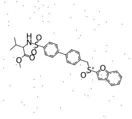 COC(=O)C(NS(=O)(=O)c1ccc(-c2ccc(C[S+]([O-])c3cc4ccccc4o3)cc2)cc1)C(C)C